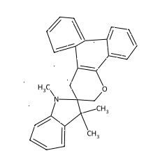 CN1c2ccccc2C(C)(C)C12COc1c(c3ccccc3c3ccccc13)C2